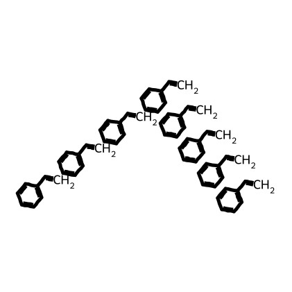 C=Cc1ccccc1.C=Cc1ccccc1.C=Cc1ccccc1.C=Cc1ccccc1.C=Cc1ccccc1.C=Cc1ccccc1.C=Cc1ccccc1.C=Cc1ccccc1